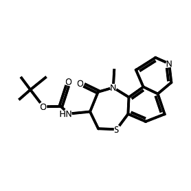 CN1C(=O)C(NC(=O)OC(C)(C)C)CSc2ccc3cnccc3c21